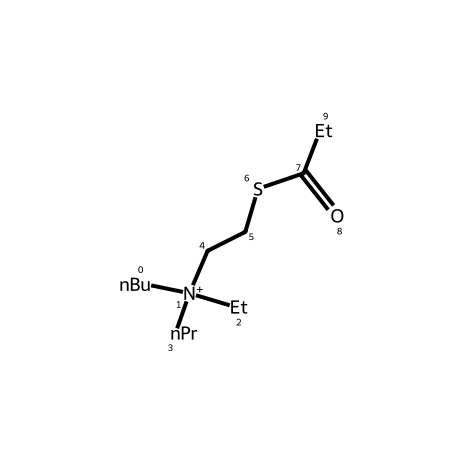 CCCC[N+](CC)(CCC)CCSC(=O)CC